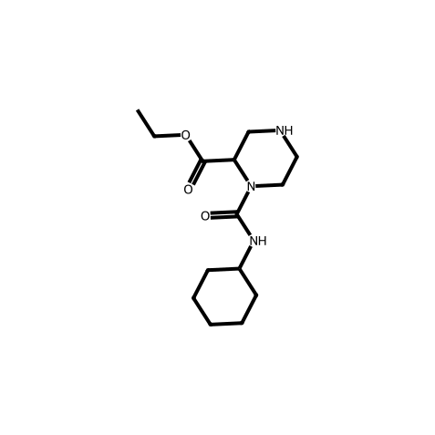 CCOC(=O)C1CNCCN1C(=O)NC1CCCCC1